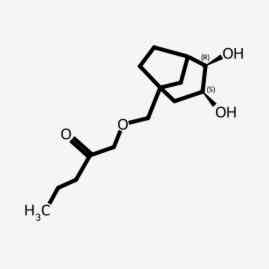 CCCC(=O)COCC12CCC(C1)[C@@H](O)[C@@H](O)C2